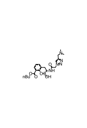 CCCCOC(=O)c1cccc2c1OB(O)[C@@H](NC(=O)Cn1cc(CN(C)C)nn1)C2